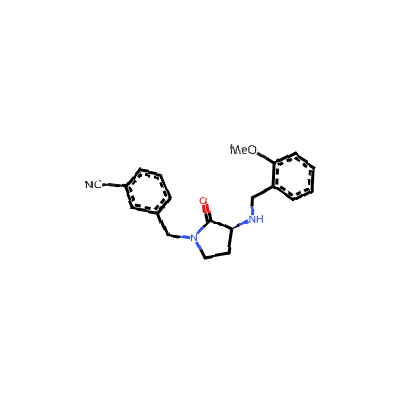 COc1ccccc1CN[C@H]1CCN(Cc2cccc(C#N)c2)C1=O